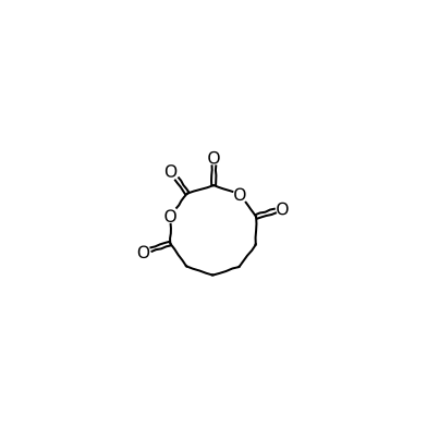 O=C1CCCCC(=O)OC(=O)C(=O)O1